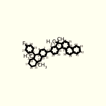 CC1(C)c2cc(-c3ccc4c(c3)CC3(C)CCCCC3(C)C4c3ccc(F)cc3)ccc2-c2c1ccc1c2ccc2ccccc21